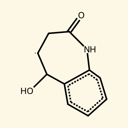 O=C1C[CH]C(O)c2ccccc2N1